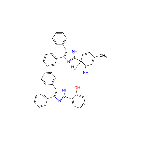 CC1=CC(N)C(C)(c2nc(-c3ccccc3)c(-c3ccccc3)[nH]2)C=C1.Oc1ccccc1-c1nc(-c2ccccc2)c(-c2ccccc2)[nH]1